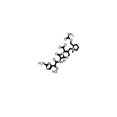 C[N+]1(CC2=C(C(=O)[O-])N3C(=O)C(NC(=O)C(=NO)c4csc(N)n4)[C@@H]3SC2)CCCC1COC(N)=O